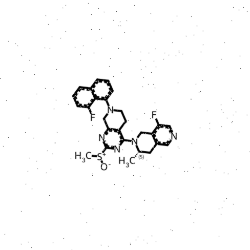 C[C@H]1Cc2cncc(F)c2CN1c1nc([S+](C)[O-])nc2c1CCN(c1cccc3cccc(F)c13)C2